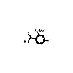 COc1cc(F)ccc1C(Cl)C(C)(C)C